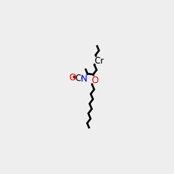 CCCCCCCCCCOC(C[CH2][Cr][CH2]CC)C(C)N=C=O